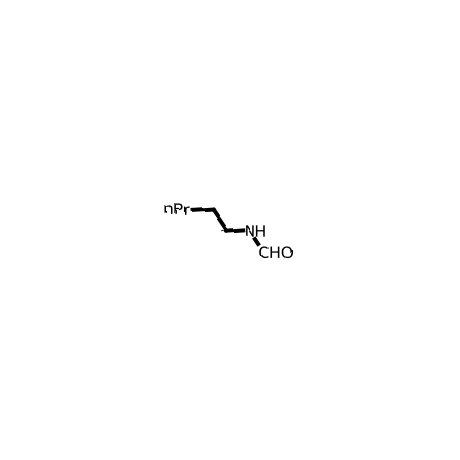 [CH2]CCC[CH]NC=O